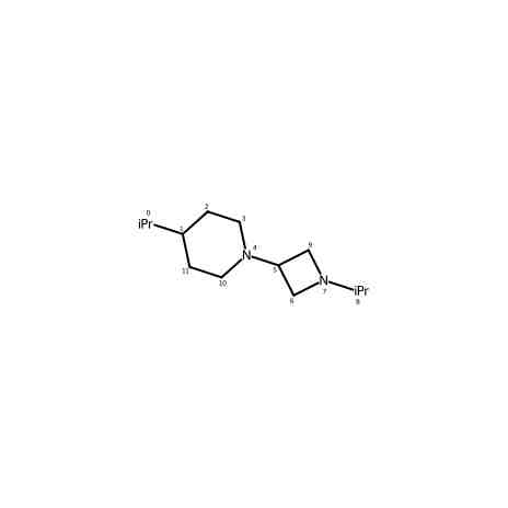 CC(C)C1CCN(C2CN(C(C)C)C2)CC1